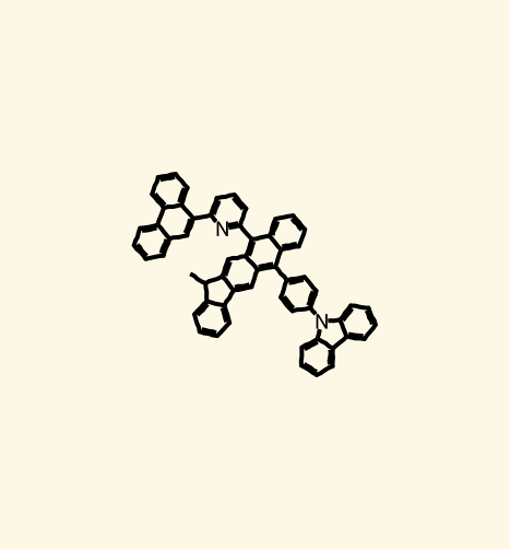 CC1c2ccccc2-c2cc3c(-c4ccc(-n5c6ccccc6c6ccccc65)cc4)c4ccccc4c(-c4cccc(-c5cc6ccccc6c6ccccc56)n4)c3cc21